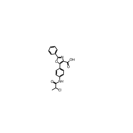 CC(Cl)C(=O)Nc1ccc(-c2oc(-c3ccccc3)nc2C(=O)O)cc1